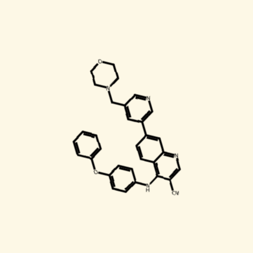 N#Cc1cnc2cc(-c3cncc(CN4CCOCC4)c3)ccc2c1Nc1ccc(Oc2ccccc2)cc1